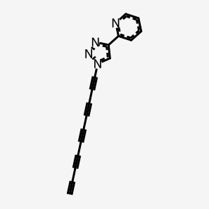 C#CC#CC#CC#CC#Cn1cc(-c2ccccn2)nn1